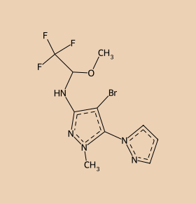 COC(Nc1nn(C)c(-n2cccn2)c1Br)C(F)(F)F